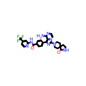 Nc1nccn2c(N3CCC4(CCNC4=O)CC3)nc(-c3ccc(C(=O)Nc4cc(C(F)(F)F)ccn4)cc3)c12